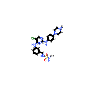 CCNS(=O)(=O)NCc1cccc(Nc2nc(Nc3ccc(N4CCN(C)CC4)cc3)ncc2Cl)c1